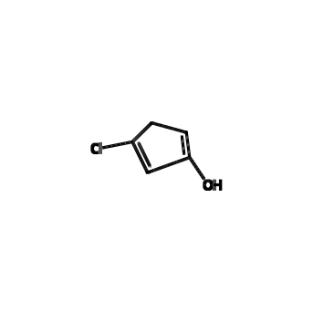 OC1=CCC(Cl)=C1